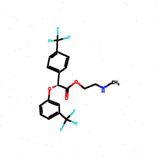 CNCCOC(=O)[C@H](Oc1cccc(C(F)(F)F)c1)c1ccc(C(F)(F)F)cc1